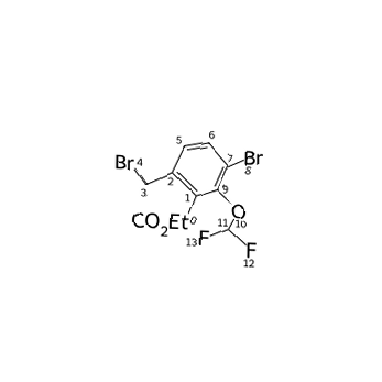 CCOC(=O)c1c(CBr)ccc(Br)c1OC(F)F